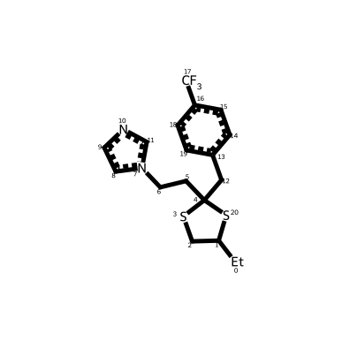 CCC1CSC(CCn2ccnc2)(Cc2ccc(C(F)(F)F)cc2)S1